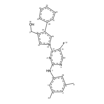 Cc1cc(C)cc(Nc2ncc(F)c(-n3cc(CO)c(-c4ccccc4)c3)n2)c1